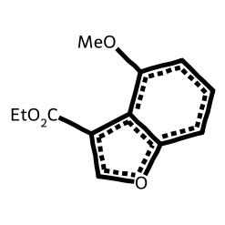 CCOC(=O)c1coc2cccc(OC)c12